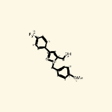 COc1ccc(Cn2nc(-c3ccc(C(F)(F)F)cc3)cc2CO)cc1